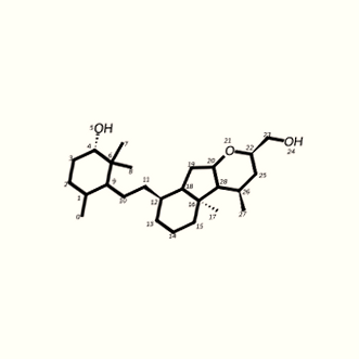 CC1CC[C@H](O)C(C)(C)C1CC[C@@H]1CCC[C@@]2(C)C1CC1O[C@@H](CO)C[C@@H](C)C12